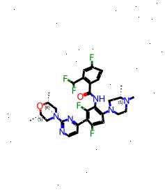 C[C@@H]1CN(c2nccc(-c3c(F)cc(N4CCN(C)[C@@H](C)C4)c(NC(=O)c4ccc(F)cc4C(F)F)c3F)n2)C[C@H](C)O1